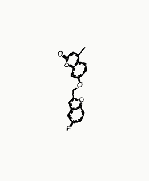 Cc1cc(=O)oc2cc(OCc3cc4cc(F)ccc4o3)ccc12